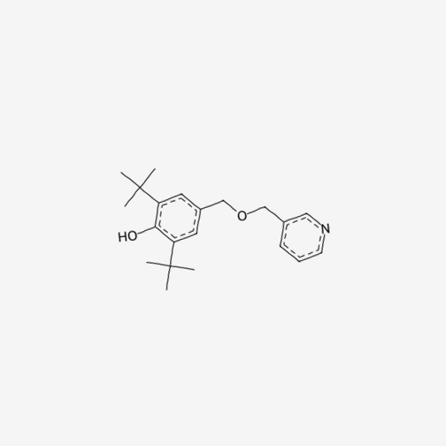 CC(C)(C)c1cc(COCc2cccnc2)cc(C(C)(C)C)c1O